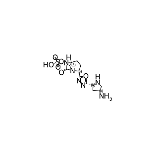 N[C@H]1CN[C@@H](c2nnc([C@@H]3CC[C@H]4CN3C(=O)N4OS(=O)(=O)O)o2)C1